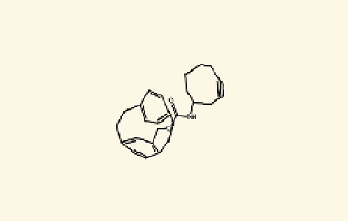 O=C(NC1CC#CCCCC1)OCc1cc2ccc1CCc1ccc(cc1)CC2